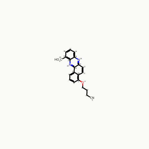 N#CCCCOc1cccc2c1ccc1nc3cccc(C(=O)O)c3nc12